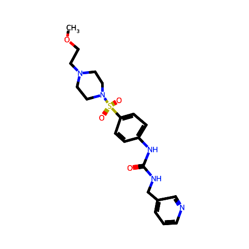 COCCN1CCN(S(=O)(=O)c2ccc(NC(=O)NCc3cccnc3)cc2)CC1